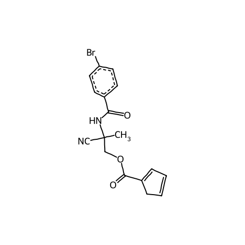 CC(C#N)(COC(=O)C1=CC=CC1)NC(=O)c1ccc(Br)cc1